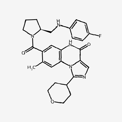 Cc1cc2c(cc1C(=O)N1CCC[C@H]1CNc1ccc(F)cc1)[nH]c(=O)c1cnc(C3CCOCC3)n12